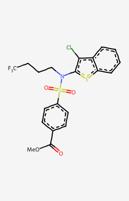 COC(=O)c1ccc(S(=O)(=O)N(CCCC(F)(F)F)c2sc3ccccc3c2Cl)cc1